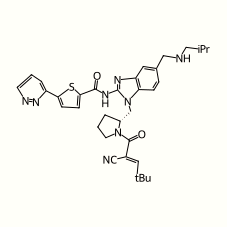 CC(C)CNCc1ccc2c(c1)nc(NC(=O)c1ccc(-c3cccnn3)s1)n2C[C@H]1CCCN1C(=O)/C(C#N)=C/C(C)(C)C